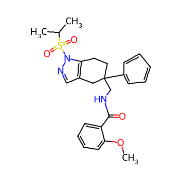 COc1ccccc1C(=O)NCC1(c2ccccc2)CCc2c(cnn2S(=O)(=O)C(C)C)C1